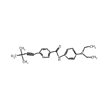 CCN(CC)c1ccc(NC(=O)c2ccc(C#CC(C)(C)C)nc2)cc1